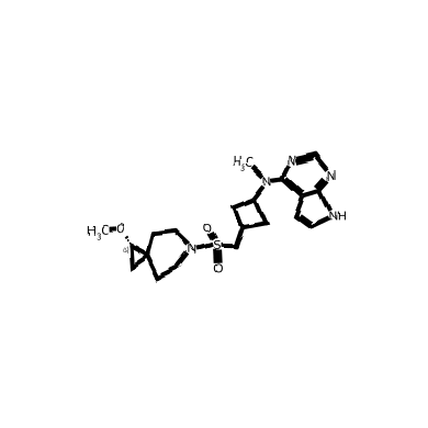 CO[C@H]1CC12CCN(S(=O)(=O)CC1CC(N(C)c3ncnc4[nH]ccc34)C1)CC2